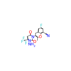 CC1=C(n2c(=O)cc(C(F)(F)F)n(N)c2=O)Cc2cc(F)cc(C#N)c2O1